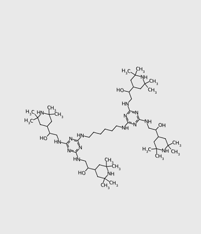 CC1(C)CC(C(O)CNc2nc(NCCCCCCNc3nc(NCC(O)C4CC(C)(C)NC(C)(C)C4)nc(NCC(O)C4CC(C)(C)NC(C)(C)C4)n3)nc(NCC(O)C3CC(C)(C)NC(C)(C)C3)n2)CC(C)(C)N1